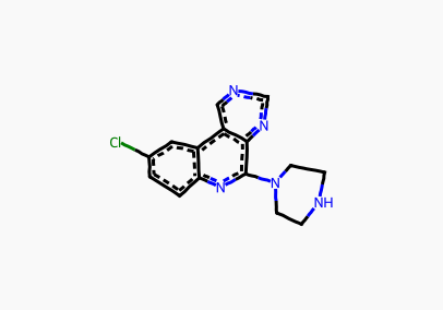 Clc1ccc2nc(N3CCNCC3)c3ncncc3c2c1